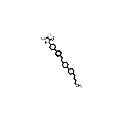 C=C(C)C(=O)NC1CCC(c2ccc(CCC3CCC(C4CCC(CCCCC)CC4)CC3)cc2)CC1